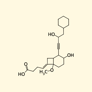 COC12CCC(O)C(C#CC(O)CC3CCCCC3)C1CC2=CCCC(=O)O